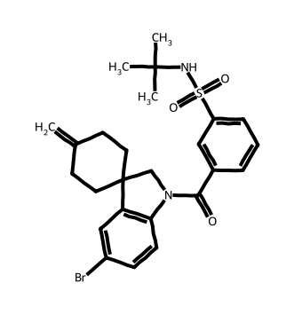 C=C1CCC2(CC1)CN(C(=O)c1cccc(S(=O)(=O)NC(C)(C)C)c1)c1ccc(Br)cc12